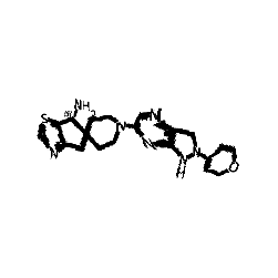 N[C@@H]1c2scnc2CC12CCN(c1cnc3c(n1)NN(C1=CCOCC1)C3)CC2